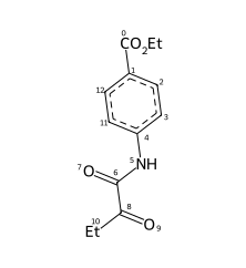 CCOC(=O)c1ccc(NC(=O)C(=O)CC)cc1